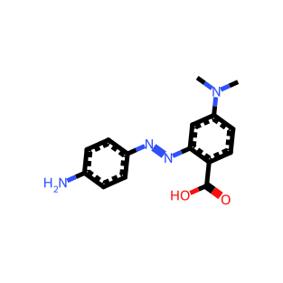 CN(C)c1ccc(C(=O)O)c(N=Nc2ccc(N)cc2)c1